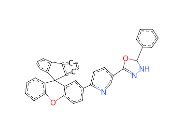 c1ccc(C2NN=C(c3ccc(-c4ccc5c(c4)C4(c6ccccc6O5)c5ccccc5-c5ccccc54)nc3)O2)cc1